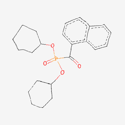 O=C(c1cccc2ccccc12)P(=O)(OC1CCCCC1)OC1CCCCC1